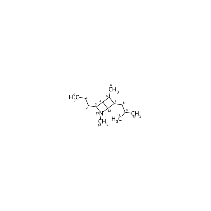 CCCC1C2C(C)C(CC(C)C)C2N1C